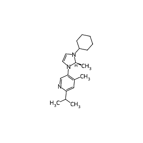 Cc1cc(C(C)C)ncc1N1C=CN(C2CCCCC2)[C@H]1C